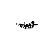 CC#CC(=O)N1CCC[C@H]1c1nc(-c2ccc(C(=O)Nc3cc(C(F)(F)F)ccn3)c(OC)c2)c2c(N)nccn12